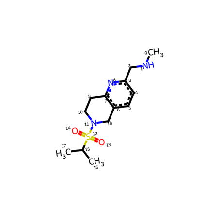 CNCc1ccc2c(n1)CCN(S(=O)(=O)C(C)C)C2